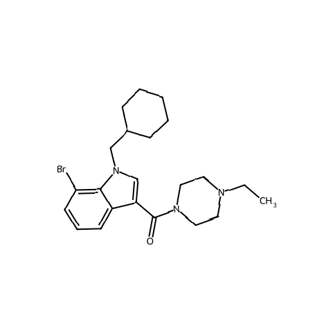 CCN1CCN(C(=O)c2cn(CC3CCCCC3)c3c(Br)cccc23)CC1